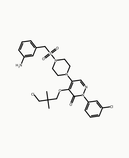 CC(C)(CCl)COc1c(N2CCN(S(=O)(=O)Cc3cccc(N)c3)CC2)cnn(-c2cccc(Cl)c2)c1=O